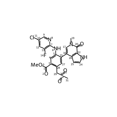 COC(=O)c1cc(Nc2ncc(Cl)cc2F)c(-c2cn(C)c(=O)c3[nH]ccc23)cc1CS(C)(=O)=O